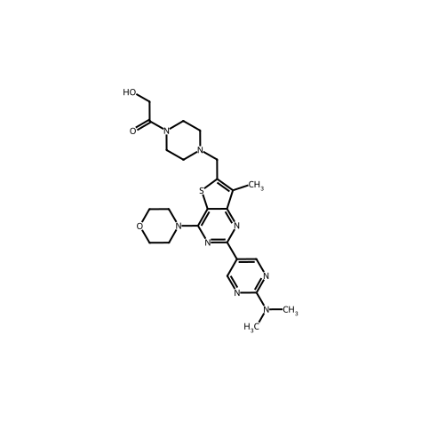 Cc1c(CN2CCN(C(=O)CO)CC2)sc2c(N3CCOCC3)nc(-c3cnc(N(C)C)nc3)nc12